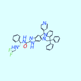 O=C(N[C@H](CNCC(F)F)c1ccccc1)c1nc2cc3c(-c4ccncc4)nn(CC(c4ccccc4)(c4ccccc4)c4ccccc4)c3cc2[nH]1